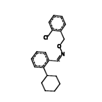 Clc1ccccc1CO/N=[C]\c1ccccc1C1CCCCC1